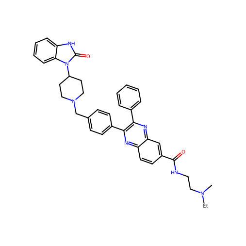 CCN(C)CCNC(=O)c1ccc2nc(-c3ccc(CN4CCC(n5c(=O)[nH]c6ccccc65)CC4)cc3)c(-c3ccccc3)nc2c1